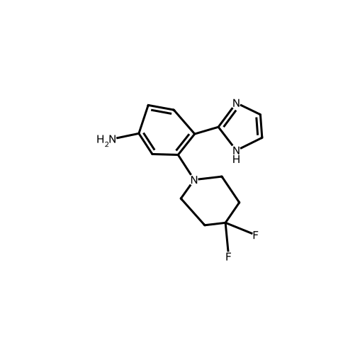 Nc1ccc(-c2ncc[nH]2)c(N2CCC(F)(F)CC2)c1